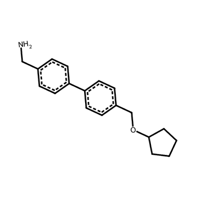 NCc1ccc(-c2ccc(COC3CCCC3)cc2)cc1